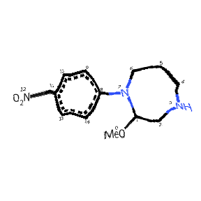 COC1CNCCCN1c1ccc([N+](=O)[O-])cc1